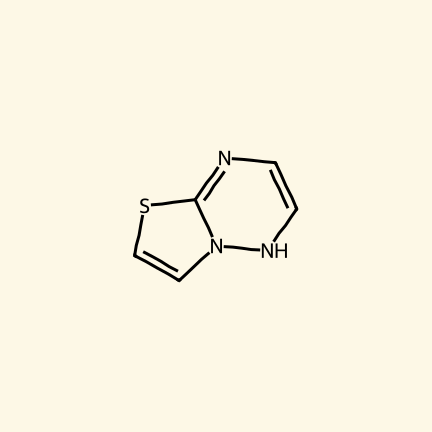 C1=CNN2C=CSC2=N1